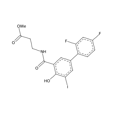 COC(=O)CCNC(=O)c1cc(-c2ccc(F)cc2F)cc(I)c1O